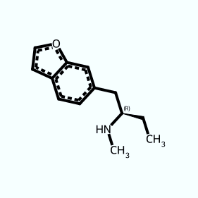 CC[C@H](Cc1ccc2ccoc2c1)NC